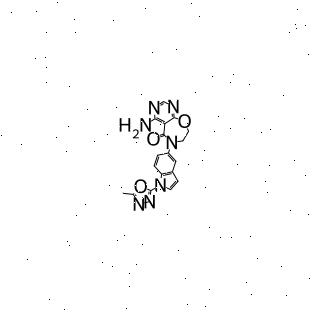 Cc1nnc(-n2ccc3cc(N4CCOc5ncnc(N)c5C4=O)ccc32)o1